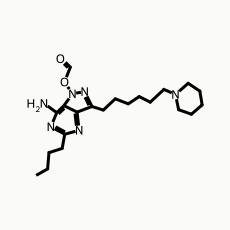 CCCCc1nc(N)c2c(n1)c(CCCCCCN1CCCCC1)nn2OC=O